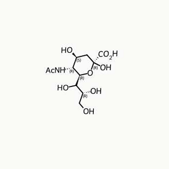 CC(=O)N[C@@H]1[C@@H](O)C[C@](O)(C(=O)O)O[C@H]1C(O)[C@H](O)CO